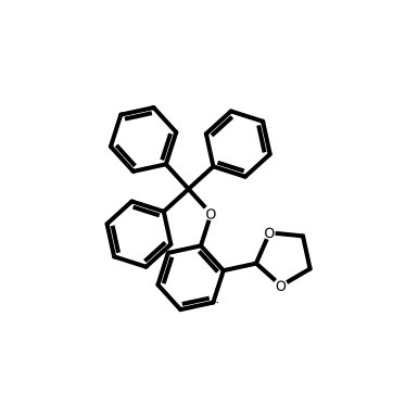 [c]1cccc(OC(c2ccccc2)(c2ccccc2)c2ccccc2)c1C1OCCO1